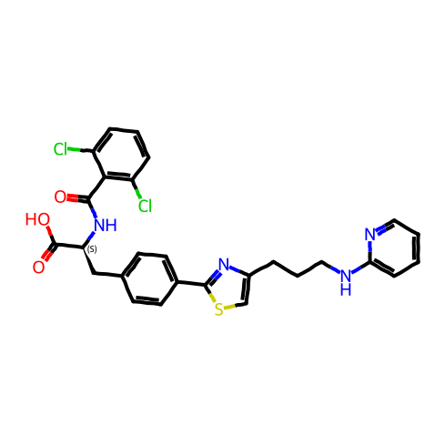 O=C(N[C@@H](Cc1ccc(-c2nc(CCCNc3ccccn3)cs2)cc1)C(=O)O)c1c(Cl)cccc1Cl